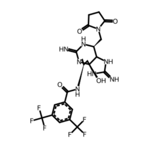 N=C1NC2[C@H](CN3C(=O)CCC3=O)NC(=N)N3C[C@H](NC(=O)c4cc(C(F)(F)F)cc(C(F)(F)F)c4)[C@@H](O)C23N1